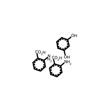 Nc1ccccc1C(=O)O.Nc1ccccc1C(=O)O.Oc1cccc(O)c1